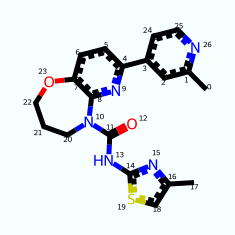 Cc1cc(-c2ccc3c(n2)N(C(=O)Nc2nc(C)cs2)CCCO3)ccn1